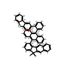 CC1(C)c2cc3ccccc3cc2-c2c(-c3c4ccccc4c(-c4ccccc4-c4ccc5oc6ccccc6c5c4)c4ccccc34)cccc21